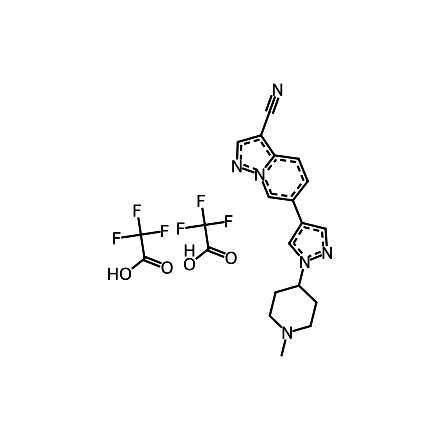 CN1CCC(n2cc(-c3ccc4c(C#N)cnn4c3)cn2)CC1.O=C(O)C(F)(F)F.O=C(O)C(F)(F)F